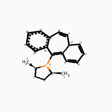 C[C@@H]1CC[C@H](C)P1C1=C2C=CC=CC2C=Cc2ccccc21